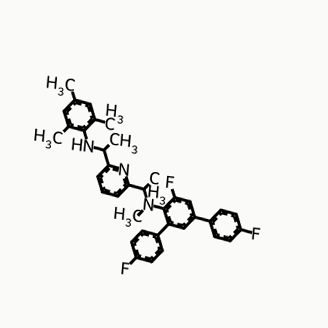 Cc1cc(C)c(NC(C)c2cccc(C(C)N(C)c3c(F)cc(-c4ccc(F)cc4)cc3-c3ccc(F)cc3)n2)c(C)c1